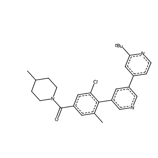 Cc1cc(C(=O)N2CCC(C)CC2)cc(Cl)c1-c1cncc(-c2ccnc(C(C)(C)C)c2)c1